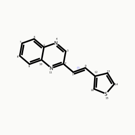 C(=C\c1cnc2ccccc2n1)/c1ccsc1